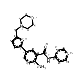 Nc1ncc(-c2ccc(CN3CCOCC3)s2)cc1C(=O)Nc1ccncn1